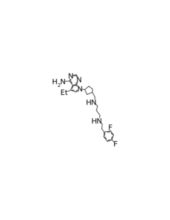 CCc1cn(C2CCC(CNCCCNCCc3ccc(F)cc3F)C2)c2ncnc(N)c12